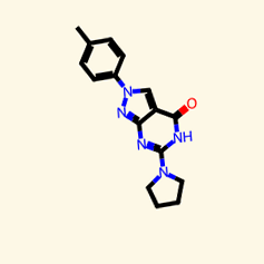 Cc1ccc(-n2cc3c(=O)[nH]c(N4CCCC4)nc3n2)cc1